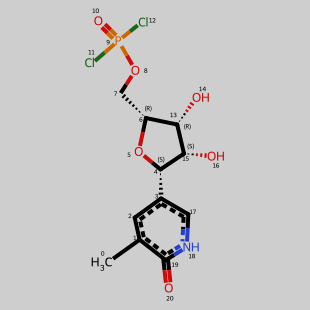 Cc1cc([C@@H]2O[C@H](COP(=O)(Cl)Cl)[C@H](O)[C@@H]2O)c[nH]c1=O